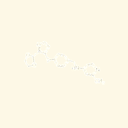 Cc1cc(NCc2ccc(Sc3ccoc3C3OCCO3)cc2)ccn1